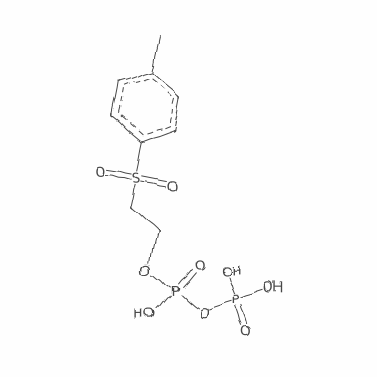 Cc1ccc(S(=O)(=O)CCOP(=O)(O)OP(=O)(O)O)cc1